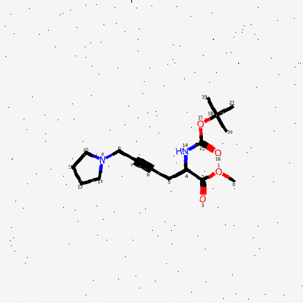 COC(=O)C(CC#CCN1CCCC1)NC(=O)OC(C)(C)C